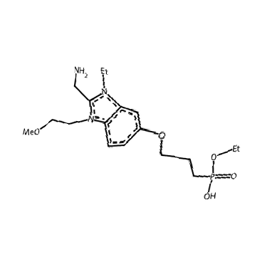 CCOP(=O)(O)CCCOc1ccc2c(c1)n(CC)c(CN)[n+]2CCOC